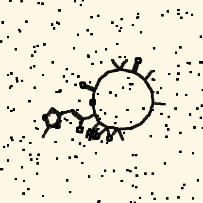 Cc1nc(C=C(Cl)C2OC(=O)CCC(C)(C)C(=O)C(C)CC(C)CCCC3(C)OC3(O)C2O)co1